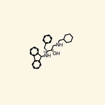 O[C@@H](CNCC1CCCCC1)[C@H](Cc1ccccc1)NC1c2ccccc2-c2ccccc21